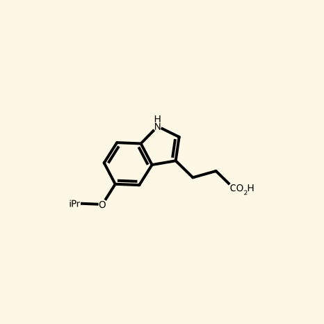 CC(C)Oc1ccc2[nH]cc(CCC(=O)O)c2c1